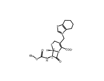 CC(C)(C)OC(=O)N[C@@H]1C(=O)N2C(C(=O)[O-])=C(C[n+]3csc4c3CCCC4)CS[C@@H]12